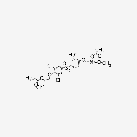 COC[C@@H](COC1=CC=C(S(=O)(=O)c2cc(Cl)c(OCC(CCl)OC(C)=O)c(Cl)c2)CC1C)OC(C)=O